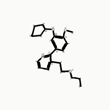 CCCOCCc1cccnc1-c1ccc(OC)c(OC2CCCC2)c1